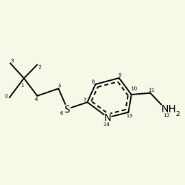 CC(C)(C)CCSc1ccc(CN)cn1